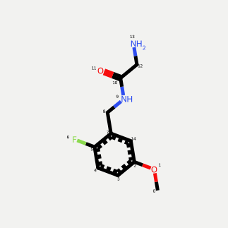 COc1ccc(F)c(CNC(=O)CN)c1